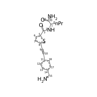 CCCC(NC(=O)c1ccc(C#Cc2ccc(CN)cc2)s1)C(N)=O